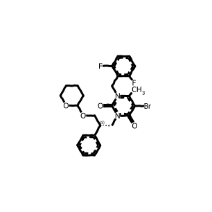 Cc1c(Br)c(=O)n(C[C@@H](COC2CCCCO2)c2ccccc2)c(=O)n1Cc1c(F)cccc1F